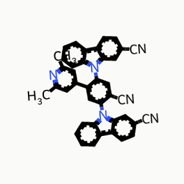 Cc1cc(-c2cc(-n3c4ccccc4c4ccc(C#N)cc43)c(C#N)cc2-n2c3ccccc3c3ccc(C#N)cc32)cc(C)n1